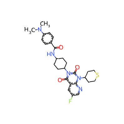 CN(C)c1ccc(C(=O)NC2CCC(n3c(=O)c4cc(F)cnc4n(C4CCSCC4)c3=O)CC2)cc1